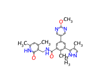 COc1ncc(-c2cc(C(=O)NCc3c(C)cc(C)[nH]c3=O)c(C)c(-c3c(C)cnn3C)c2)cn1